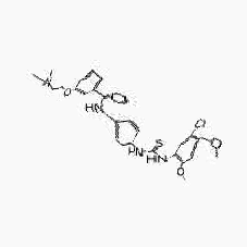 COc1cc(OC)c(NC(=S)Nc2ccc(NC(=O)c3cccc(OCCN(C)C)c3)cc2)cc1Cl